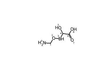 NCOBC(O)C(=O)O